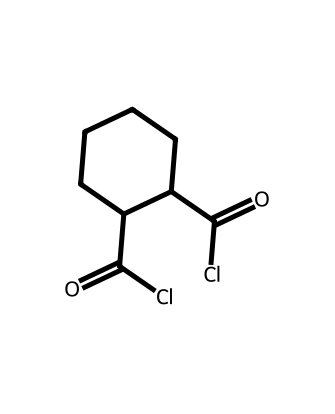 O=C(Cl)C1CCCCC1C(=O)Cl